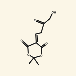 CC1(C)OC(=O)C(=CCC(=O)CO)C(=O)O1